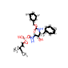 CC(C)CCOB(O)ONC[C@H](O)[C@@H](Cc1ccccc1)NC(=O)OCc1ccccc1